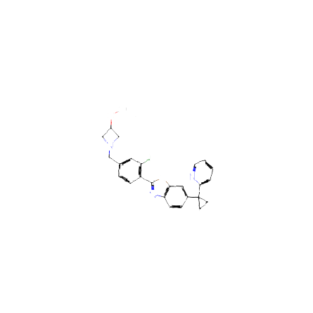 O=C(O)OC1CN(Cc2ccc(-c3nc4ccc(C5(c6ccccn6)CC5)cc4s3)c(F)c2)C1